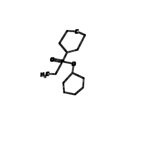 CCP(=O)(OC1CCCCC1)C1CCCCC1